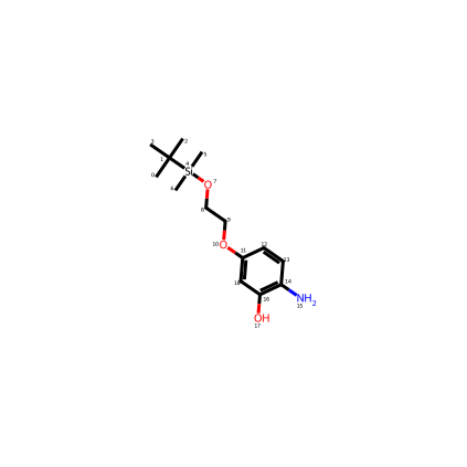 CC(C)(C)[Si](C)(C)OCCOc1ccc(N)c(O)c1